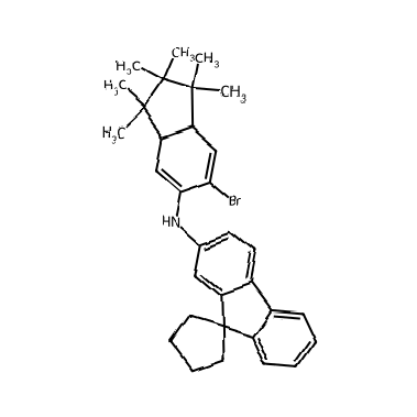 CC1(C)C2C=C(Br)C(Nc3ccc4c(c3)C3(CCCC3)c3ccccc3-4)=CC2C(C)(C)C1(C)C